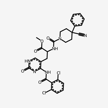 COC(=O)C(Cc1c[nH]c(=O)nc1NC(=O)c1c(Cl)cccc1Cl)NC(=O)N1CCC(C#N)(c2ccccc2)CC1